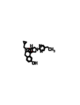 CCc1cnc(N2C[C@H]3CC45CCC2C3C42CCN(CC3CC3)C5Cc3ccc(O)cc32)nc1